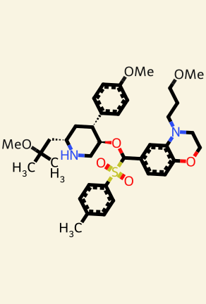 COCCCN1CCOc2ccc(C(O[C@H]3CN[C@H](CC(C)(C)OC)C[C@@H]3c3ccc(OC)cc3)S(=O)(=O)c3ccc(C)cc3)cc21